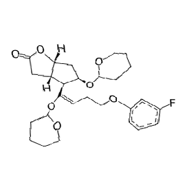 O=C1C[C@H]2[C@H](/C(=C\CCOc3cccc(F)c3)OC3CCCCO3)[C@H](OC3CCCCO3)C[C@H]2O1